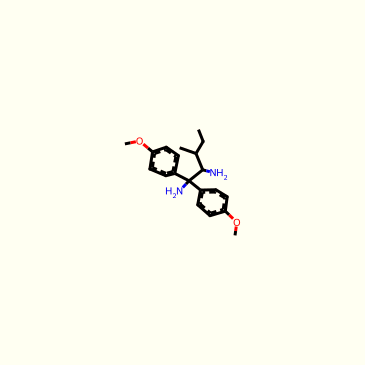 CCC(C)C(N)C(N)(c1ccc(OC)cc1)c1ccc(OC)cc1